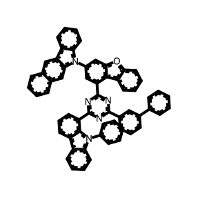 c1ccc(-c2cccc(-c3nc(-c4cc(-n5c6ccccc6c6cc7ccccc7cc65)cc5oc6ccccc6c45)nc(-c4cccc5c6ccccc6n(-c6ccccc6)c45)n3)c2)cc1